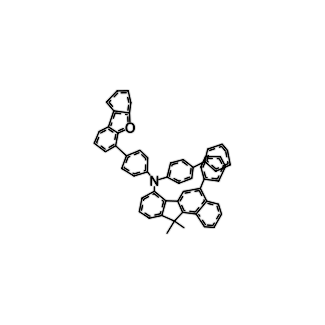 CC1(C)c2cccc(N(c3ccc(-c4ccccc4)cc3)c3ccc(-c4cccc5c4oc4ccccc45)cc3)c2-c2cc(-c3ccccc3)c3ccccc3c21